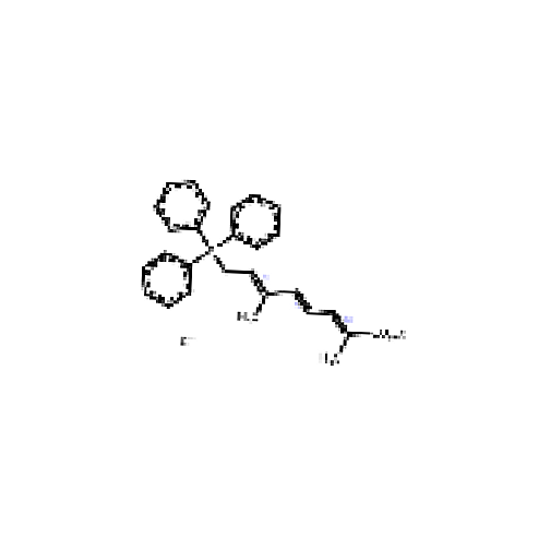 CCOC(=O)/C(C)=C/C=C/C(C)=C/C[P+](c1ccccc1)(c1ccccc1)c1ccccc1.[Cl-]